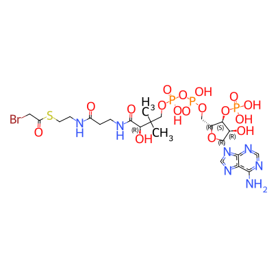 CC(C)(COP(=O)(O)OP(=O)(O)OC[C@H]1O[C@@H](n2cnc3c(N)ncnc32)[C@H](O)[C@@H]1OP(=O)(O)O)[C@@H](O)C(=O)NCCC(=O)NCCSC(=O)CBr